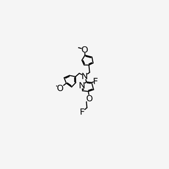 COc1ccc(CN(Cc2ccc(OC)cc2)c2ncc(OCCF)cc2F)cc1